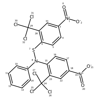 O=[N+]([O-])c1ccc(SN(c2ccccc2)c2ccc([N+](=O)[O-])cc2C(Cl)(Cl)Cl)c(C(Cl)(Cl)Cl)c1